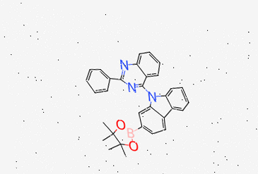 CC1(C)OB(c2ccc3c4ccccc4n(-c4nc(-c5ccccc5)nc5ccccc45)c3c2)OC1(C)C